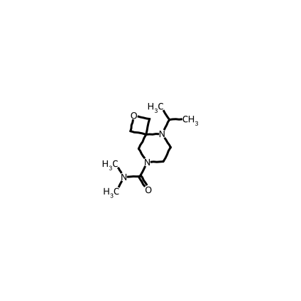 CC(C)N1CCN(C(=O)N(C)C)CC12COC2